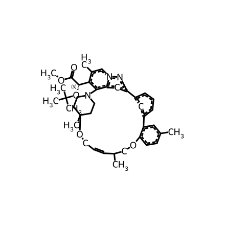 COC(=O)[C@@H](OC(C)(C)C)c1c(C)cn2nc3cc2c1N1CCC(C)(CC1)OCC=CC(C)COc1ccc(C)cc1-c1cccc-3c1